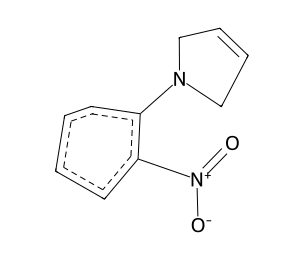 O=[N+]([O-])c1ccccc1N1CC=CC1